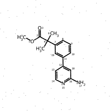 COC(=O)C(C)(C)c1cccc(-c2ccnc(N)c2)c1